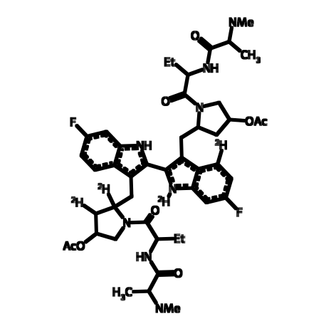 [2H]c1cc(F)cc2c1c(CC1CC(OC(C)=O)CN1C(=O)C(CC)NC(=O)C(C)NC)c(-c1[nH]c3cc(F)ccc3c1CC1([2H])C([2H])C(OC(C)=O)CN1C(=O)C(CC)NC(=O)C(C)NC)n2[2H]